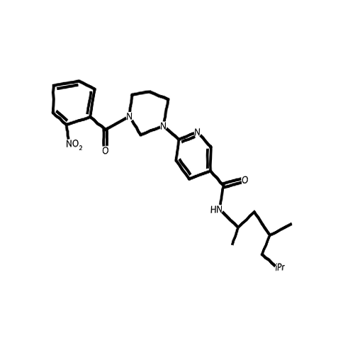 CC(C)CC(C)CC(C)NC(=O)c1ccc(N2CCCN(C(=O)c3ccccc3[N+](=O)[O-])C2)nc1